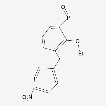 CCOc1c(Cc2ccc([N+](=O)[O-])cc2)cccc1P=O